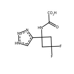 O=C(O)C(=O)NC1(c2c[nH]nn2)CC(F)(F)C1